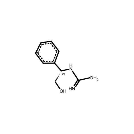 N=C(N)N[C@H](CO)c1ccccc1